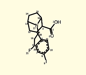 O=C(O)C1C(c2ccc(I)cc2)CC2CCC1N2CCCF